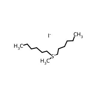 CCCCCC[S+](C)CCCCCC.[I-]